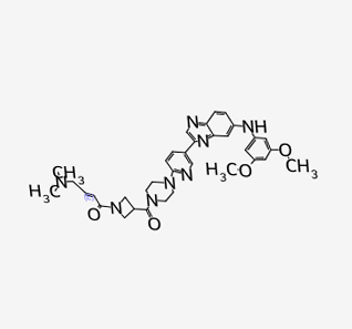 COc1cc(Nc2ccc3ncc(-c4ccc(N5CCN(C(=O)C6CN(C(=O)/C=C/CN(C)C)C6)CC5)nc4)nc3c2)cc(OC)c1